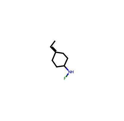 CC=C1CCC(NF)CC1